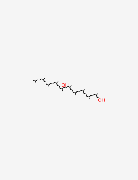 CC(C)=CCCC(C)=CCCC(C)=CCCC(C)=CCCC(C)C(O)CCC(C)=CCCC(C)=CCCC(C)=CCCC(C)=CCCC(C)=CCO